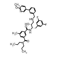 CCCN(CCC)C(=O)c1cc(C)cc(C(=O)N[C@@H](Cc2cc(F)cc(F)c2)[C@H](O)CNCc2cccc(-c3ccc(OC)nc3)c2)c1